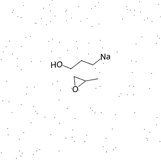 CC1CO1.OCC[CH2][Na]